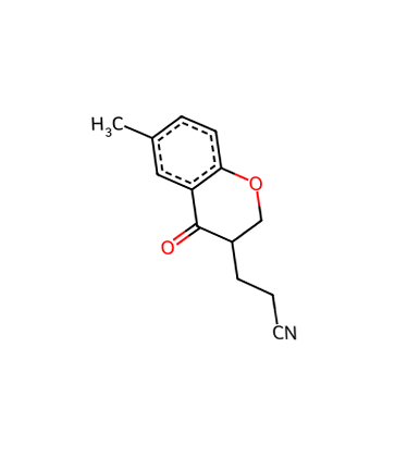 Cc1ccc2c(c1)C(=O)C(CCC#N)CO2